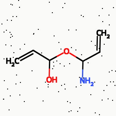 C=CC(N)OC(O)C=C